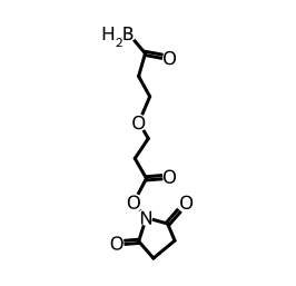 BC(=O)CCOCCC(=O)ON1C(=O)CCC1=O